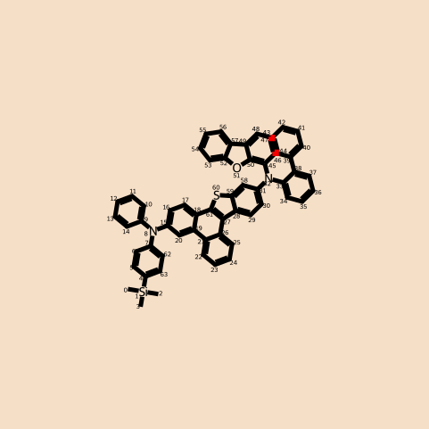 C[Si](C)(C)c1ccc(N(c2ccccc2)c2ccc3c(c2)c2ccccc2c2c4ccc(N(c5ccccc5-c5ccccc5)c5cccc6c5oc5ccccc56)cc4sc32)cc1